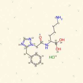 Cl.NCCCCC(NC(=O)Cn1ncnc1Cc1ccccc1)B(O)O